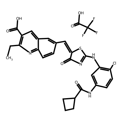 CCc1nc2ccc(C=C3SC(Nc4cc(NC(=O)C5CCC5)ccc4Cl)=NC3=O)cc2cc1C(=O)O.O=C(O)C(F)(F)F